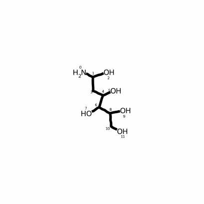 NC(O)CC(O)C(O)C(O)CO